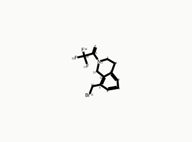 C=C(N1CCc2cccc(CBr)c2C1)C(F)(F)F